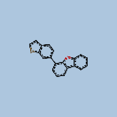 c1ccc2c(c1)oc1c(-c3ccc4ccsc4c3)cccc12